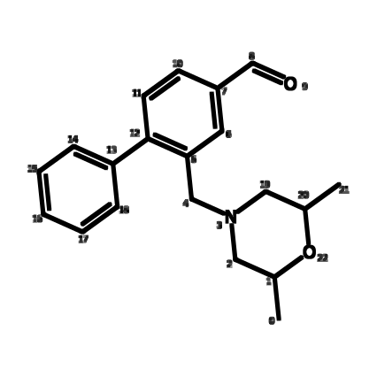 CC1CN(Cc2cc(C=O)ccc2-c2ccccc2)CC(C)O1